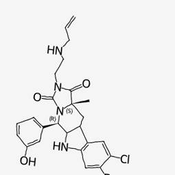 C=CCNCCN1C(=O)N2[C@H](c3cccc(O)c3)C3Nc4cc(F)c(Cl)cc4C3C[C@@]2(C)C1=O